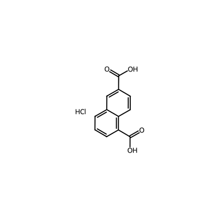 Cl.O=C(O)c1ccc2c(C(=O)O)cccc2c1